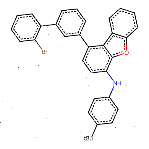 CC(C)(C)c1ccc(Nc2ccc(-c3cccc(-c4ccccc4Br)c3)c3c2oc2ccccc23)cc1